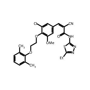 CCc1nnc(NC(=O)C(C#N)=Cc2cc(Cl)c(OCCOc3c(C)cccc3C)c(OC)c2)s1